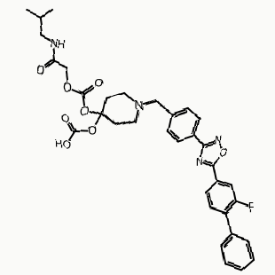 CC(C)CNC(=O)COC(=O)OC1(OC(=O)O)CCN(Cc2ccc(-c3noc(-c4ccc(-c5ccccc5)c(F)c4)n3)cc2)CC1